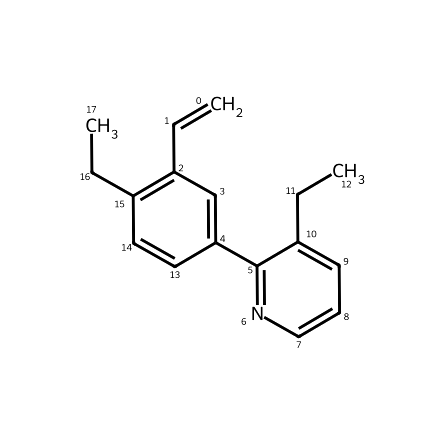 C=Cc1cc(-c2ncccc2CC)ccc1CC